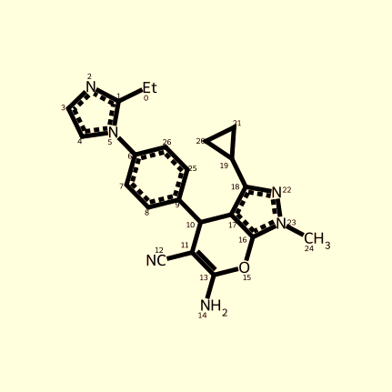 CCc1nccn1-c1ccc(C2C(C#N)=C(N)Oc3c2c(C2CC2)nn3C)cc1